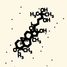 CC(C)(O)C(O)CC[C@@H](I)C1C(O)C[C@@]2(C)C3CCC4C(C)(C)C(=O)CC[C@@]45C[C@@]35CCC12C